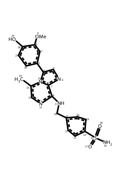 COc1cc(-c2cnc3c(NCc4ccc(S(N)(=O)=O)cc4)ncc(C)n23)ccc1O